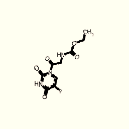 CCOC(=O)NCC(=O)n1cc(F)c(=O)[nH]c1=O